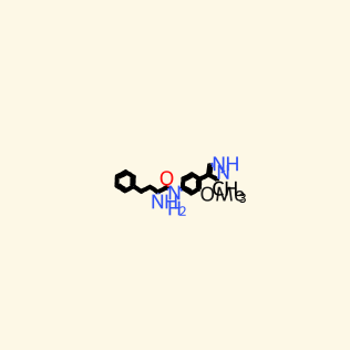 COc1cc(NC(=O)C(N)CCc2ccccc2)ccc1-c1c[nH]nc1C